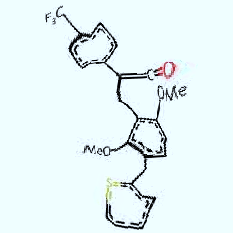 COc1ccc(-c2cccs2)c(OC)c1CC(=C=O)c1ccc(C(F)(F)F)cc1